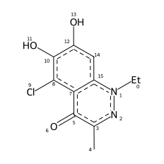 CCn1nc(C)c(=O)c2c(Cl)c(O)c(O)cc21